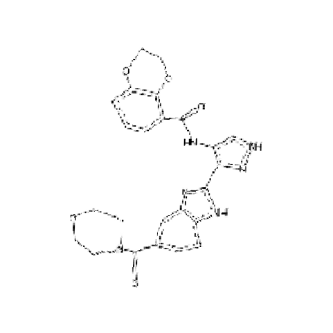 O=C(Nc1c[nH]nc1-c1nc2cc(C(=O)N3CCOCC3)ccc2[nH]1)c1cccc2c1OCCO2